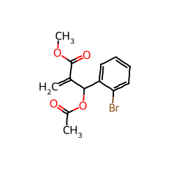 C=C(C(=O)OC)C(OC(C)=O)c1ccccc1Br